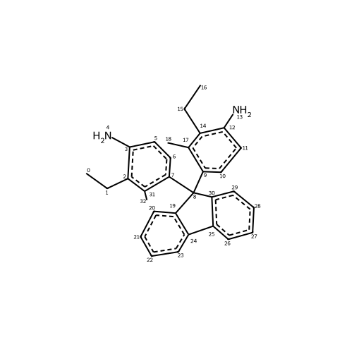 CCc1c(N)ccc(C2(c3ccc(N)c(CC)c3C)c3ccccc3-c3ccccc32)c1C